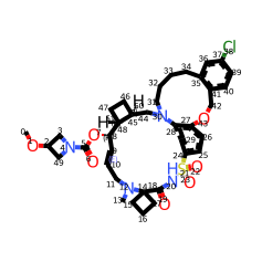 COC1CN(C(=O)O[C@H]2/C=C/CN(C)C3(CCC3)C(=O)NS(=O)(=O)c3ccc4c(c3)N(CCCCc3cc(Cl)ccc3CO4)C[C@@H]3CC[C@H]32)C1